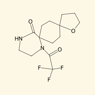 O=C(N1CCNC(=O)C12CCC1(CCCO1)CC2)C(F)(F)F